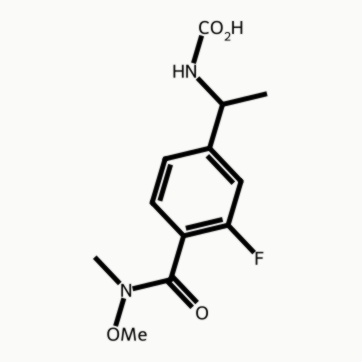 CON(C)C(=O)c1ccc(C(C)NC(=O)O)cc1F